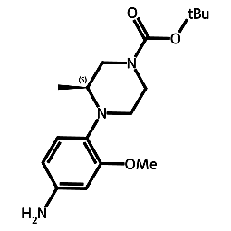 COc1cc(N)ccc1N1CCN(C(=O)OC(C)(C)C)C[C@@H]1C